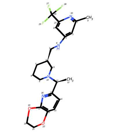 Cc1cc(NC[C@@H]2CCCN([C@@H](C)c3ccc4c(n3)OCCO4)C2)cc(C(F)(F)F)n1